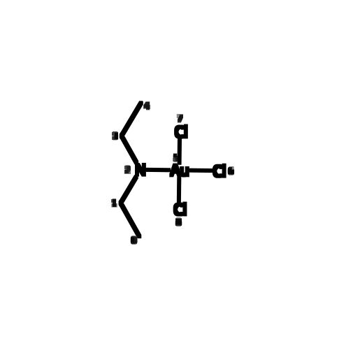 CC[N](CC)[Au]([Cl])([Cl])[Cl]